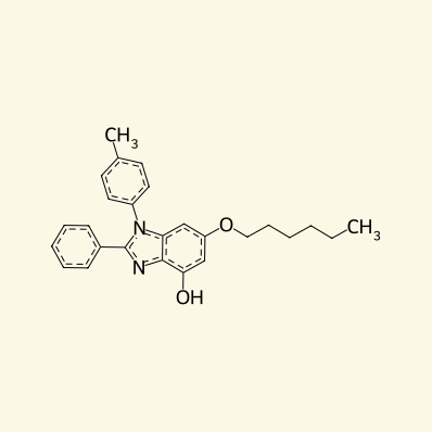 CCCCCCOc1cc(O)c2nc(-c3ccccc3)n(-c3ccc(C)cc3)c2c1